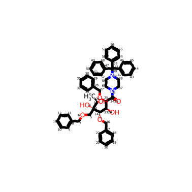 C[C@@H](O)[C@](O)(COCc1ccccc1)[C@@H](OCc1ccccc1)[C@H](O)[C@@H](OCc1ccccc1)C(=O)N1CCN(C(c2ccccc2)(c2ccccc2)c2ccccc2)CC1